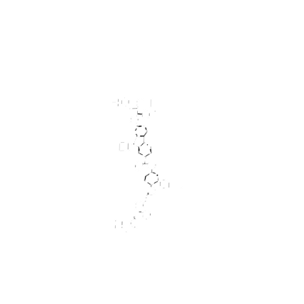 C=CC(=O)OCCOc1ccc(OC(=O)c2ccc3c(c2)C(CC)c2cc(OC(=O)C(=C)CO)ccc2-3)cc1C